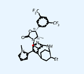 CCC1CC2CCC1Nc1ncc(-c3cccn3C)c2c1CN1C(=O)O[C@H](c2cc(C(F)(F)F)cc(C(F)(F)F)c2)[C@@H]1C